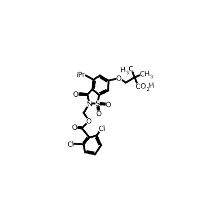 CC(C)c1cc(OCC(C)(C)C(=O)O)cc2c1C(=O)N(COC(=O)c1c(Cl)cccc1Cl)S2(=O)=O